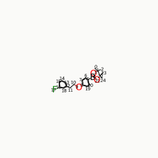 CC1(C)OB(c2ccc(OCCc3cccc(F)c3)cc2)OC1(C)C